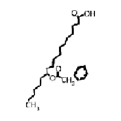 CCCCCCC(CC=CCCCCCCCC(=O)O)OC(C)=O.c1ccccc1